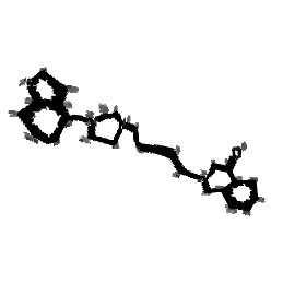 O=C1CN(CCCCN2CCN(c3cccc4sccc34)CC2)Cc2ccccc21